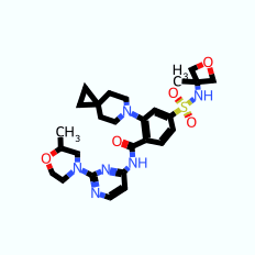 CC1CN(c2nccc(NC(=O)c3ccc(S(=O)(=O)NC4(C)COC4)cc3N3CCC4(CC3)CC4)n2)CCO1